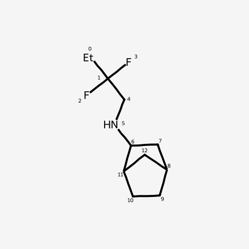 CCC(F)(F)CNC1CC2CCC1C2